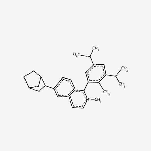 Cc1c(-c2c3ccc(C4CC5CCC4C5)cc3cc[n+]2C)cc(C(C)C)cc1C(C)C